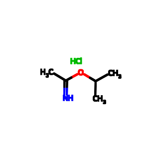 CC(=N)OC(C)C.Cl